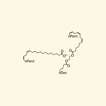 CCCCC/C=C\C/C=C\C/C=C\CCCCC(=O)O[C@@H](COC(=O)CCCCCCCCCCC/C=C\C/C=C\CCCCC)COC(=O)CCCCCCCCCCCCC